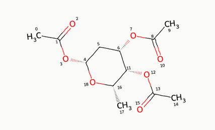 CC(=O)O[C@@H]1C[C@H](OC(C)=O)[C@H](OC(C)=O)[C@H](C)O1